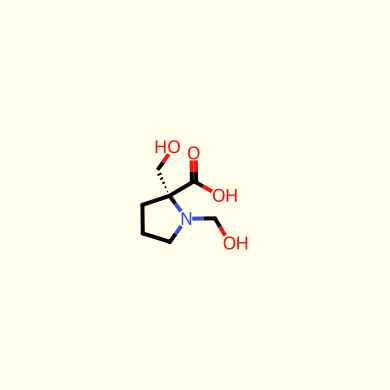 O=C(O)[C@]1(CO)CCCN1CO